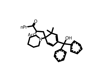 CCCC(=O)C(CC1(N2CCCCC2)C=CC(C(O)(c2ccccc2)c2ccccc2)=CC1(C)C)OC(C)=O